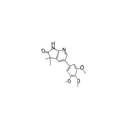 COc1cc(-c2cnc3c(c2)C(C)(C)C(=O)N3)cc(OC)c1OC